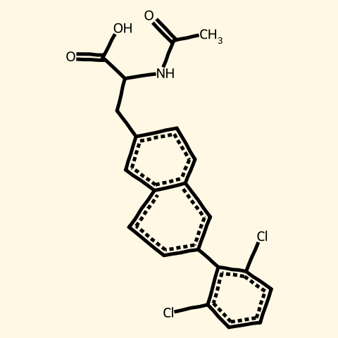 CC(=O)NC(Cc1ccc2cc(-c3c(Cl)cccc3Cl)ccc2c1)C(=O)O